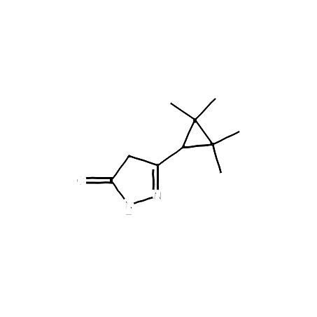 CC1(C)C(C2=NNC(=O)C2)C1(C)C